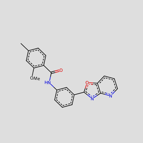 COc1cc(C)ccc1C(=O)Nc1cccc(-c2nc3ncccc3o2)c1